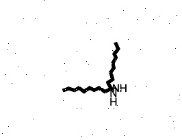 CCCCCCCCCC1(CCCCCCCCC)NN1